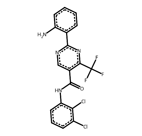 Nc1ccccc1-c1ncc(C(=O)Nc2cccc(Cl)c2Cl)c(C(F)(F)F)n1